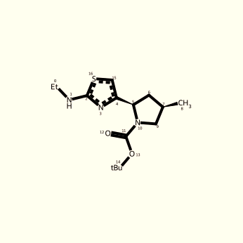 CCNc1nc([C@H]2C[C@@H](C)CN2C(=O)OC(C)(C)C)cs1